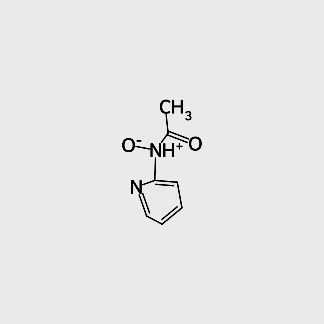 CC(=O)[NH+]([O-])c1ccccn1